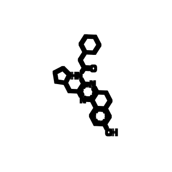 O=C(CC1CCCCC1)Nc1nc2c(nc1CC1CCCC1)-c1ccc(O)cc1CC2